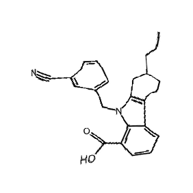 CCCC1CCc2c(n(Cc3cccc(C#N)c3)c3c(C(=O)O)cccc23)C1